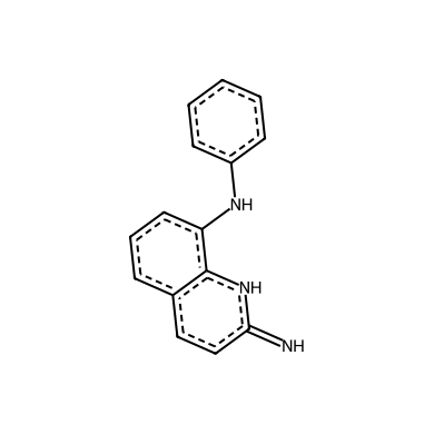 N=c1ccc2cccc(Nc3ccccc3)c2[nH]1